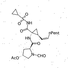 CCCCC/C=C\[C@@H]1C[C@]1(NC(=O)[C@@H]1C[C@@H](OC(C)=O)CN1C=O)C(=O)NS(=O)(=O)C1CC1